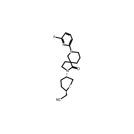 N#CC[C@H]1CC[C@H](N2CCC3(CCCN(c4cccc(F)n4)C3)C2=O)CC1